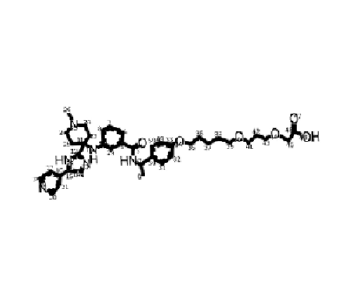 CC(NC(=O)c1cccc(NC2(c3nnc(-c4ccncc4)[nH]3)CCN(C)CC2)c1)c1ccc(OCCCCCOCCCOCC(=O)O)cc1